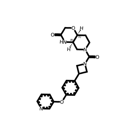 O=C1CO[C@H]2CCN(C(=O)N3CC(c4ccc(Oc5cccnc5)cc4)C3)C[C@H]2N1